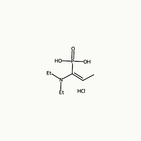 CC=C(N(CC)CC)P(=O)(O)O.Cl